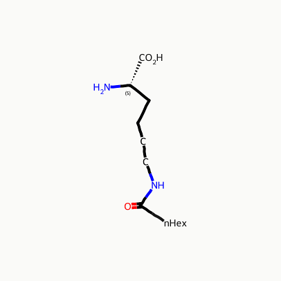 CCCCCCC(=O)NCCCC[C@H](N)C(=O)O